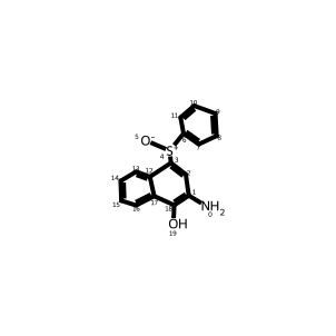 Nc1cc([S+]([O-])c2ccccc2)c2ccccc2c1O